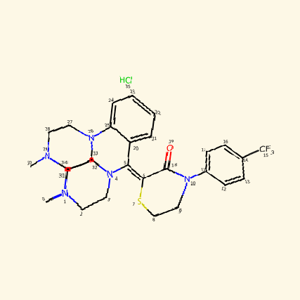 CN1CCN(C(=C2SCCN(c3ccc(C(F)(F)F)cc3)C2=O)c2ccccc2N2CCN(C)CC2)CC1.Cl